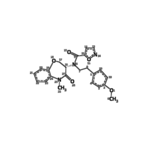 COc1ccc(CCN(C(=O)c2ccno2)[C@H]2COc3ccccc3N(C)C2=O)cc1